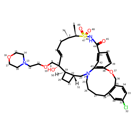 C[C@@H]1[C@@H](C)C/C=C/[C@](O)(COCCN2CCOCC2)[C@@H]2CC[C@H]2CN2CCCCc3cc(Cl)ccc3COc3ccc(cc32)C(=O)NS1(=O)=O